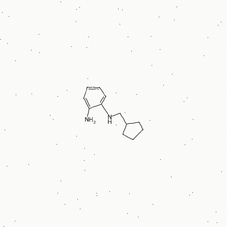 Nc1ccccc1NCC1CCCC1